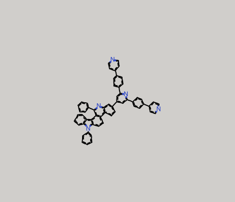 c1ccc(-c2nc3cc(-c4cc(-c5ccc(-c6ccncc6)cc5)nc(-c5ccc(-c6ccncc6)cc5)c4)ccc3c3ccc4c(c5ccccc5n4-c4ccccc4)c23)cc1